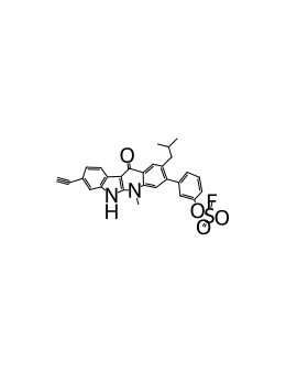 C#Cc1ccc2c(c1)[nH]c1c2c(=O)c2cc(CC(C)C)c(-c3cccc(OS(=O)(=O)F)c3)cc2n1C